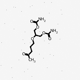 CC(=O)CCCOC(COC(N)=O)COC(N)=O